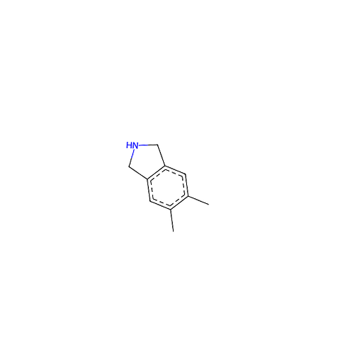 Cc1cc2c(cc1C)CNC2